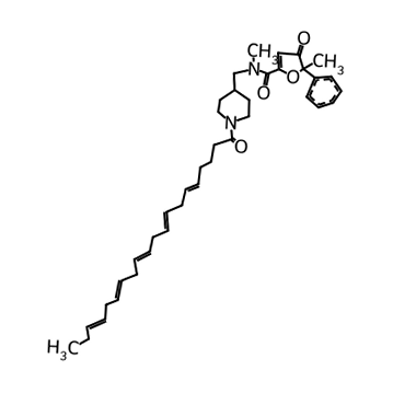 CCC=CCC=CCC=CCC=CCC=CCCCC(=O)N1CCC(CN(C)C(=O)C2=CC(=O)C(C)(c3ccccc3)O2)CC1